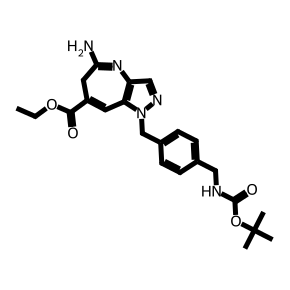 CCOC(=O)C1=Cc2c(cnn2Cc2ccc(CNC(=O)OC(C)(C)C)cc2)N=C(N)C1